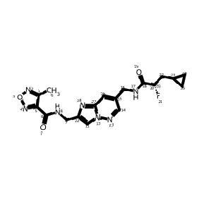 Cc1nonc1C(=O)NCc1cn2ncc(CNC(=O)[C@@H](F)CC3CC3)cc2n1